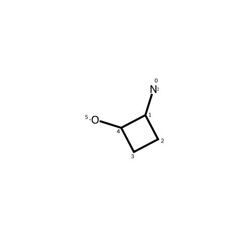 [N]C1CCC1[O]